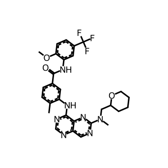 COc1ccc(C(F)(F)F)cc1NC(=O)c1ccc(C)c(Nc2ncnc3cnc(N(C)CC4CCCCO4)nc23)c1